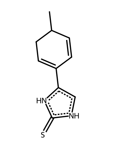 CC1C=CC(c2c[nH]c(=S)[nH]2)=CC1